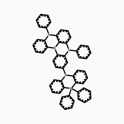 c1ccc(N2c3ccccc3B3c4ccc(N5c6ccccc6[Si](c6ccccc6)(c6ccccc6)c6ccccc65)cc4N(c4ccccc4)c4cccc2c43)cc1